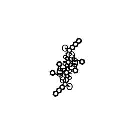 O=C1C(=Cc2cc3c(s2)-c2sc4c5c(sc4c2C3(C(=O)OCc2ccccc2)C(=O)OCc2ccccc2)-c2sc(C=C3C(=O)c4cc6cc7ccccc7cc6cc4C3=O)cc2C5(C(=O)OCc2ccccc2)C(=O)OCc2ccccc2)C(=O)c2cc3cc4ccccc4cc3cc21